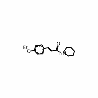 CCOc1ccc(C=CC(=O)NC2CCCCC2)cc1